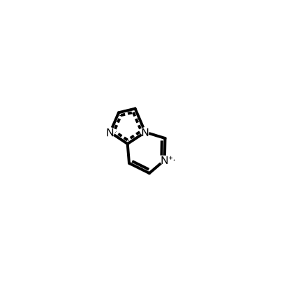 C1=Cc2nccn2C=[N+]1